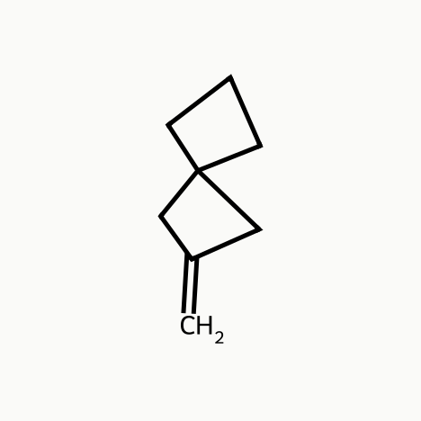 C=C1CC2(CCC2)C1